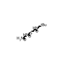 CC(C)(C)CCCNC(=O)CCCSCC(=O)NCCC(N)=O